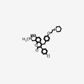 CN(C)Cc1c(O)ccc2c(Cc3ccc(OCCN4CCCCC4)cc3)c(-c3ccc(Cl)cc3)c(=O)oc12